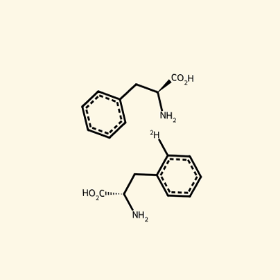 N[C@@H](Cc1ccccc1)C(=O)O.[2H]c1ccccc1C[C@H](N)C(=O)O